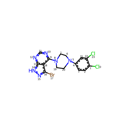 Clc1ccc(N2CCN(c3ncnc4[nH]nc(Br)c34)CC2)cc1Cl